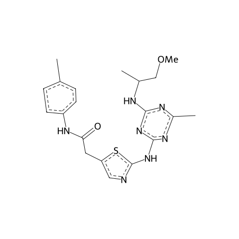 COCC(C)Nc1nc(C)nc(Nc2ncc(CC(=O)Nc3ccc(C)cc3)s2)n1